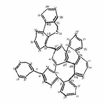 c1ccc(-c2ccc3c4ccccc4c4cccc5c6ccccc6c6cc(-c7cccc8c7sc7ccccc78)cc(c3c2)c6c45)cc1